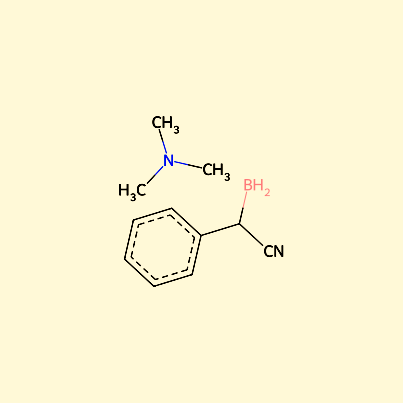 BC(C#N)c1ccccc1.CN(C)C